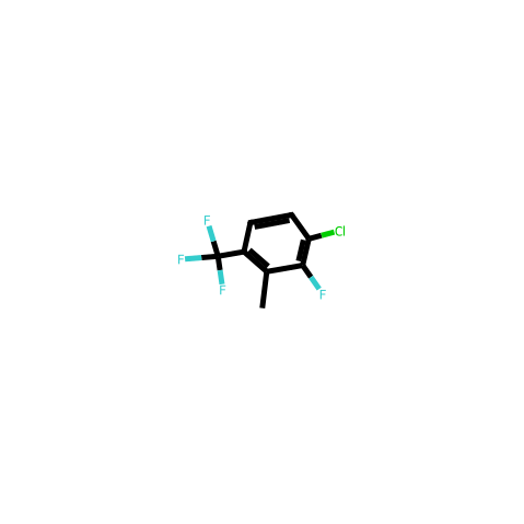 Cc1c(C(F)(F)F)ccc(Cl)c1F